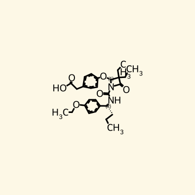 CCC[C@@H](NC(=O)N1C(=O)C(CC)(CC)[C@@H]1Oc1ccc(CC(=O)O)cc1)c1ccc(OCC)cc1